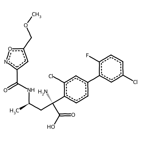 COCc1cc(C(=O)N[C@H](C)C[C@](N)(C(=O)O)c2ccc(-c3cc(Cl)ccc3F)cc2Cl)no1